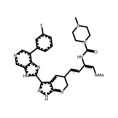 CN/C=C(\C=C\C1C=c2c(-c3nc4c(-c5cccc(F)c5)cncc4[nH]3)n[nH]c2=NC1)NC(=O)N1CCN(C)CC1